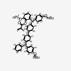 C=C(C)C(=O)Oc1c(OCCC)cccc1N(c1ccc(OCCCC)cc1)c1ccc(-c2ccc(N(c3ccccc3)c3ccc(OCCCC)cc3)cc2)cc1